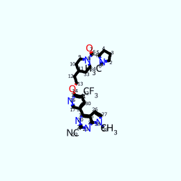 CN1CCC[C@H]1C(=O)N1CCC(CCOc2ncc(-c3nc(C#N)nc4c3ccn4C)cc2C(F)(F)F)CC1